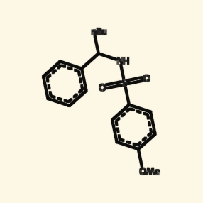 CCCCC(NS(=O)(=O)c1ccc(OC)cc1)c1ccccc1